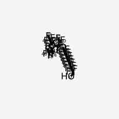 OCC(F)(F)C(F)(F)C(F)(F)C(F)(F)C(F)(F)C(F)(F)C(F)(F)OC(F)(F)C(OC(F)(F)F)(OC(F)(F)C(F)(F)F)OC(F)(F)C(F)(F)F